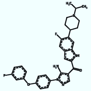 CC(C)N1CCC(c2cc3[nH]c(C(=O)c4cnn(-c5ccc(Oc6cccc(F)c6)cc5)c4N)cc3cc2F)CC1